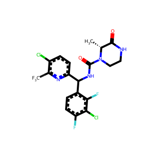 C[C@@H]1C(=O)NCCN1C(=O)NC(c1ccc(Cl)c(C(F)(F)F)n1)c1ccc(F)c(Cl)c1F